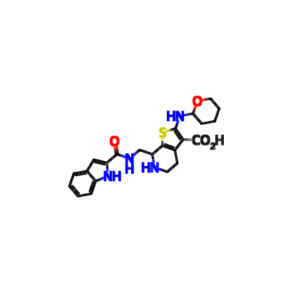 O=C(NCC1NCCc2c1sc(NC1CCCCO1)c2C(=O)O)c1cc2ccccc2[nH]1